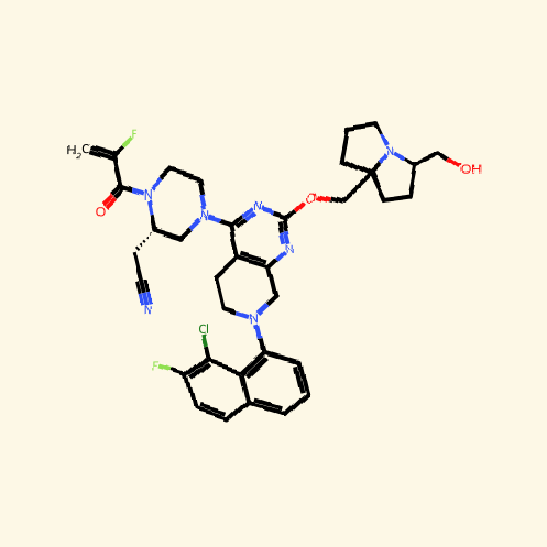 C=C(F)C(=O)N1CCN(c2nc(OCC34CCCN3C(CO)CC4)nc3c2CCN(c2cccc4ccc(F)c(Cl)c24)C3)C[C@@H]1CC#N